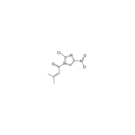 CC(C)=CC(=O)n1cc([N+](=O)[O-])nc1Cl